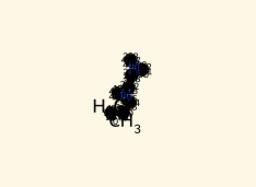 Cc1ccccc1-c1cccc(-c2cccc(-n3c4c(c5cc(-c6ccc7c(c6)c6ccccc6n7-c6ccccc6)ccc53)C=CCC4)c2)c1C